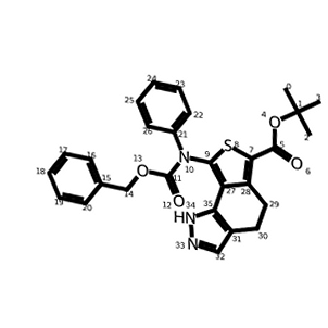 CC(C)(C)OC(=O)c1sc(N(C(=O)OCc2ccccc2)c2ccccc2)c2c1CCc1cn[nH]c1-2